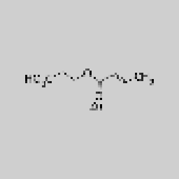 CC=CC(=O)OCCC(=O)O.[Zn]